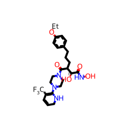 CCOc1ccc(CCCC(C(=O)N2CCN(C3=C(C(F)(F)F)C=CCN3)CC2)[C@H](O)C(=O)NO)cc1